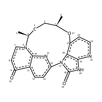 C[C@@H]1CC[C@H](C)n2ccc(=O)c3ccc(nc32)-n2c(=O)[nH]c3nccc(c32)O1